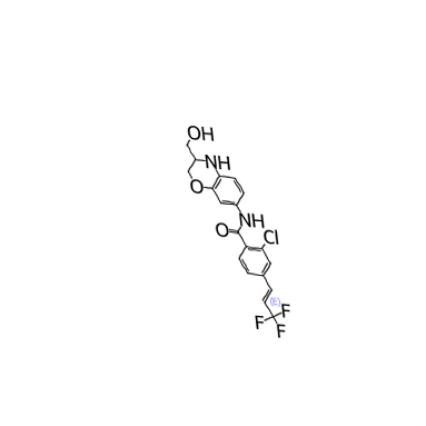 O=C(Nc1ccc2c(c1)OCC(CO)N2)c1ccc(/C=C/C(F)(F)F)cc1Cl